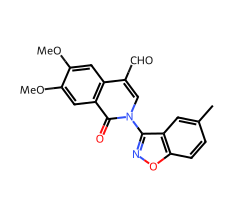 COc1cc2c(C=O)cn(-c3noc4ccc(C)cc34)c(=O)c2cc1OC